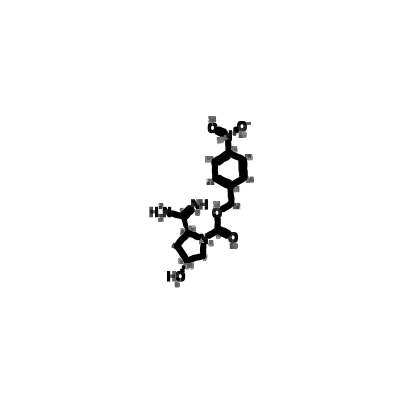 N=C(N)[C@@H]1C[C@@H](O)CN1C(=O)OCc1ccc([N+](=O)[O-])cc1